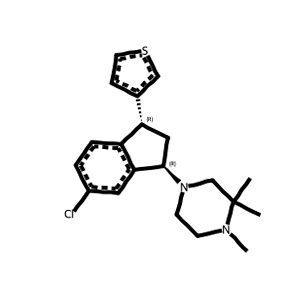 CN1CCN([C@@H]2C[C@@H](c3ccsc3)c3ccc(Cl)cc32)CC1(C)C